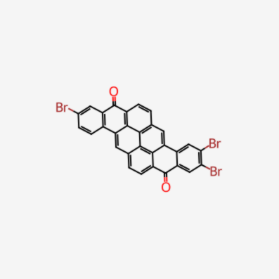 O=c1c2cc(Br)ccc2c2cc3ccc4c(=O)c5cc(Br)c(Br)cc5c5cc6ccc1c2c6c3c45